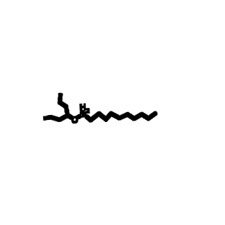 CCCCCCCCCC[SiH2]OC(CCC)CCC